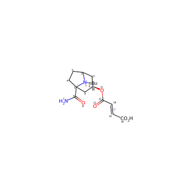 CCCCN1C2CCC1(C(N)=O)C[C@H](OC(=O)/C=C/C(=O)O)C2